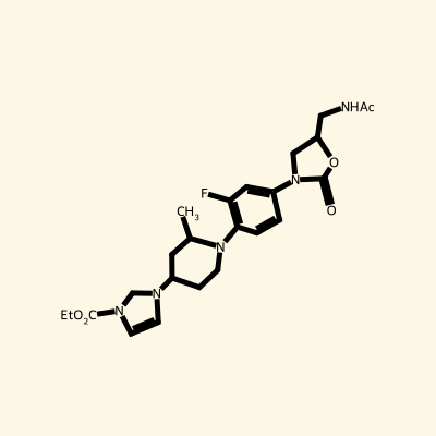 CCOC(=O)N1C=CN(C2CCN(c3ccc(N4CC(CNC(C)=O)OC4=O)cc3F)C(C)C2)C1